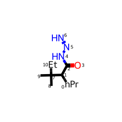 CCCC(C(=O)NN=N)C(C)(C)CC